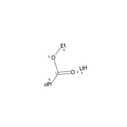 CCCC(=O)OCC.[LiH]